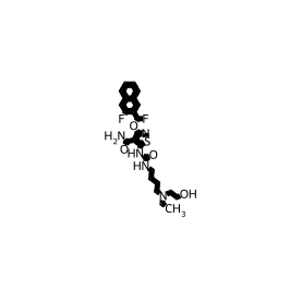 CCN(CCO)CCCCNC(=O)Nc1snc(OC(F)c2cc3ccccc3cc2F)c1C(N)=O